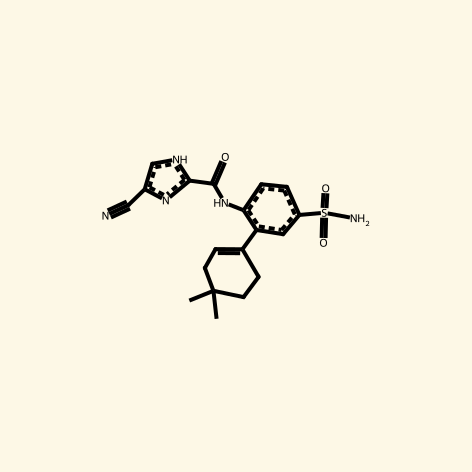 CC1(C)CC=C(c2cc(S(N)(=O)=O)ccc2NC(=O)c2nc(C#N)c[nH]2)CC1